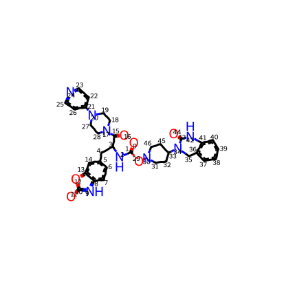 O=C(NC(Cc1ccc2[nH]c(=O)oc2c1)C(=O)N1CCN(c2ccncc2)CC1)ON1CCC(N2Cc3ccccc3NC2=O)CC1